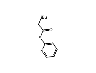 CCC(C)CC(=O)Sc1ccccn1